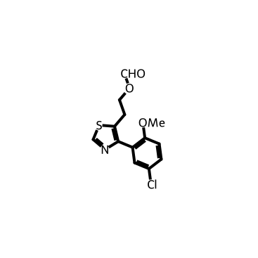 COc1ccc(Cl)cc1-c1ncsc1CCOC=O